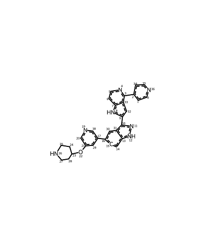 c1cc(-c2nccc3[nH]c(-c4n[nH]c5ccc(-c6cncc(OC7CCNCC7)c6)cc45)cc23)ccn1